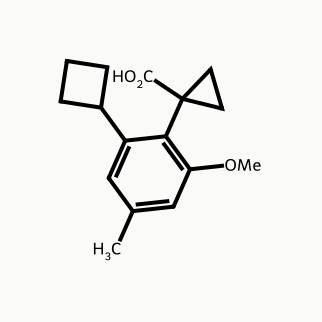 COc1cc(C)cc(C2CCC2)c1C1(C(=O)O)CC1